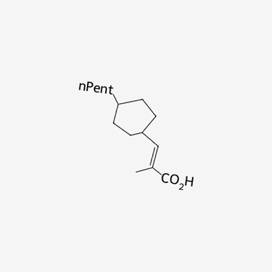 CCCCCC1CCC(C=C(C)C(=O)O)CC1